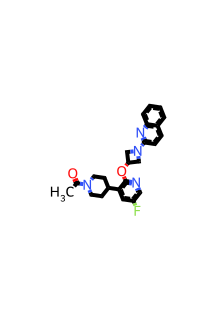 CC(=O)N1CCC(c2cc(F)cnc2OC2CN(c3ccc4ccccc4n3)C2)CC1